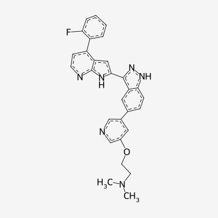 CN(C)CCOc1cncc(-c2ccc3[nH]nc(-c4cc5c(-c6ccccc6F)ccnc5[nH]4)c3c2)c1